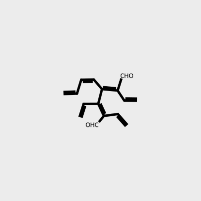 C=C\C=C/C(=C(/C=C)C=O)C(/C=C)=C(\C=C)C=O